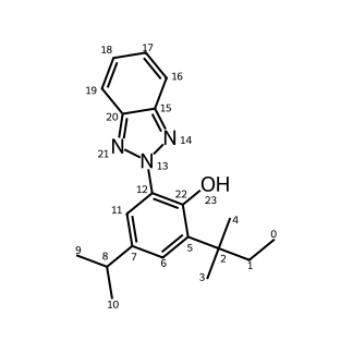 CCC(C)(C)c1cc(C(C)C)cc(-n2nc3ccccc3n2)c1O